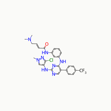 CN(C)C/C=C/C(=O)Nc1cccc(Nc2nc(Nc3cn(C)nc3Cl)ncc2-c2ccc(C(F)(F)F)cc2)c1